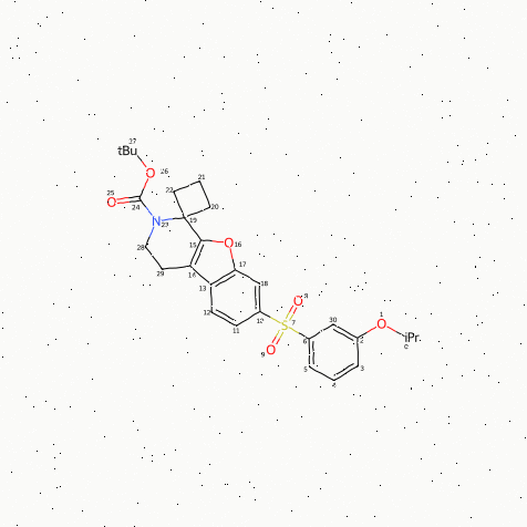 CC(C)Oc1cccc(S(=O)(=O)c2ccc3c4c(oc3c2)C2(CCC2)N(C(=O)OC(C)(C)C)CC4)c1